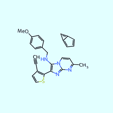 C#Cc1ccsc1-c1nc2nc(C)ccn2c1NCc1ccc(OC)cc1.c1cc2cc-2c1